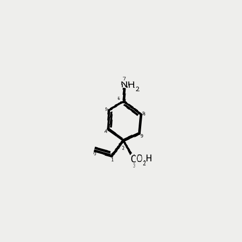 C=CC1(C(=O)O)C=CC(N)=CC1